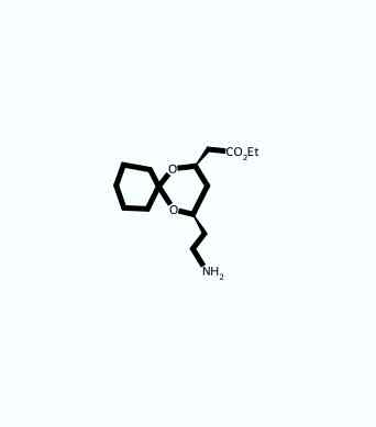 CCOC(=O)C[C@H]1C[C@@H](CCN)OC2(CCCCC2)O1